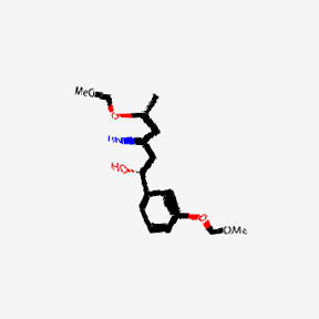 COCOc1cccc([C@H](O)CC(=N)C[C@H](C)OCOC)c1